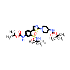 CC(C)OC(=O)Nc1ccc(-c2cnc(N3CCC(NC(=O)OC(C)(C)C)CC3)s2)c(S(=O)(=O)NC(C)(C)C)c1